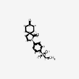 CCS(=O)(=O)c1ccc(N2CCC3(CCC(=O)CC3)C2=O)cc1